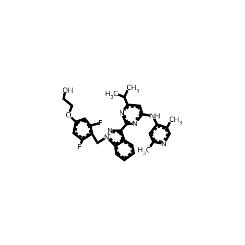 Cc1cc(Nc2cc(C(C)C)nc(-c3nn(Cc4c(F)cc(OCCO)cc4F)c4ccccc34)n2)c(C)cn1